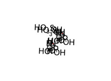 CN1CC[C@]23c4c5ccc(O)c4O[C@H]2[C@@H](O)C=C[C@H]3[C@H]1C5.CN1CC[C@]23c4c5ccc(O)c4O[C@H]2[C@@H](O)C=C[C@H]3[C@H]1C5.O=S(=O)(O)O.O=S(=O)(O)O